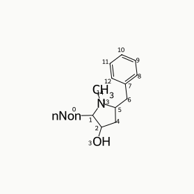 CCCCCCCCCC1C(O)CC(Cc2ccccc2)N1C